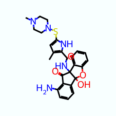 Cc1cc(SN2CCN(C)CC2)[nH]c1C(=O)NC12C(=O)c3c(N)cccc3C1(O)Oc1ccccc12